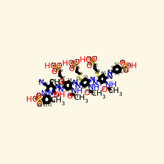 CC(=O)Nc1cc(N=Nc2cc(SCCCS(=O)(=O)O)c(N=Nc3cc(OCCCS(=O)(=O)O)c(N=Nc4c(C)c(C#N)c5nc6c(S(=O)(=O)O)ccc(C)c6n5c4O)cc3NC(C)=O)cc2NC(C)=O)c(SCCCS(=O)(=O)O)cc1N=Nc1ccc(S(=O)(=O)O)cc1